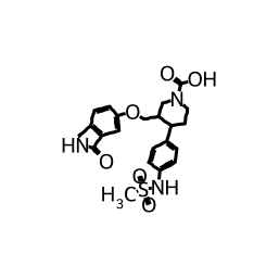 CS(=O)(=O)Nc1ccc(C2CCN(C(=O)O)CC2COc2ccc3c(c2)C(=O)NC3)cc1